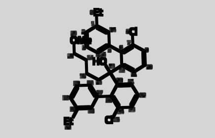 CCc1cccc(-c2c(Cl)cccc2C(O)(CCCCOC)c2cccc(Cl)c2-c2cccc(CC)c2)c1